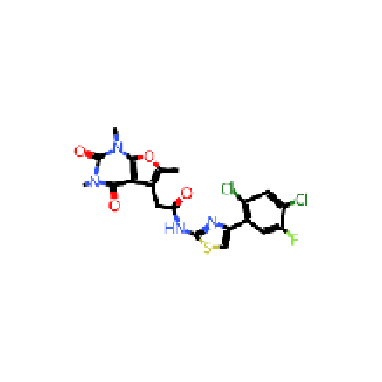 Cc1oc2c(c1CC(=O)Nc1nc(-c3cc(F)c(Cl)cc3Cl)cs1)c(=O)n(C)c(=O)n2C